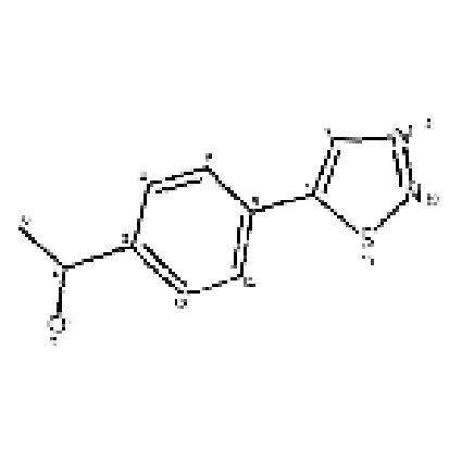 CC([O])c1ccc(-c2cnns2)cc1